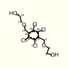 OCCOCc1c(Cl)c(Cl)c(COCCO)c(Cl)c1Cl